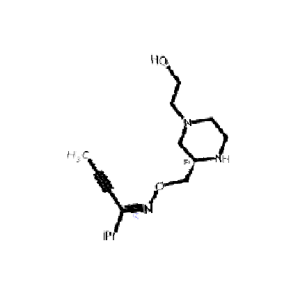 CC#C/C(=N\OC[C@H]1CN(CCO)CCN1)C(C)C